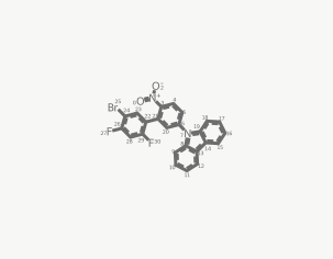 O=[N+]([O-])c1ccc(-n2c3ccccc3c3ccccc32)cc1-c1cc(Br)c(F)cc1F